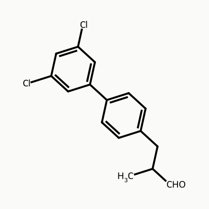 CC(C=O)Cc1ccc(-c2cc(Cl)cc(Cl)c2)cc1